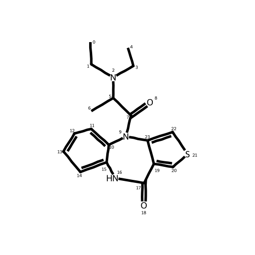 CCN(CC)C(C)C(=O)N1c2ccccc2NC(=O)c2cscc21